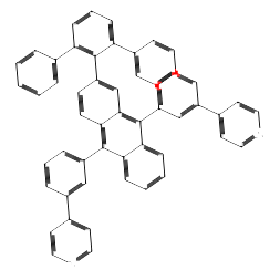 c1ccc(-c2cccc(-c3ccccc3)c2-c2ccc3c(-c4cccc(-c5ccncc5)c4)c4ccccc4c(-c4cccc(-c5ccncc5)c4)c3c2)cc1